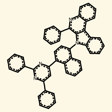 c1ccc(-c2cc(-c3ccc(-n4c5ccccc5c5c6ccccc6nc(-c6ccccc6)c54)c4ccccc34)nc(-c3ccccc3)n2)cc1